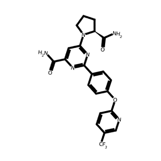 NC(=O)c1cc(N2CCC[C@H]2C(N)=O)nc(-c2ccc(Oc3ccc(C(F)(F)F)cn3)cc2)n1